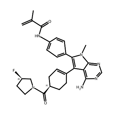 C=C(C)C(=O)Nc1ccc(-c2c(C3=CC[C@H](C(=O)N4CC[C@@H](F)C4)CC3)c3c(N)ncnc3n2C)cc1